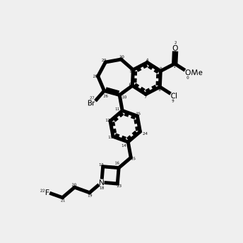 COC(=O)c1cc2c(cc1Cl)C(c1ccc(CC3CN(CCCF)C3)cc1)=C(Br)CCC2